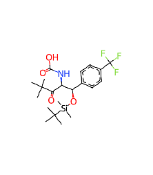 CC(C)(C)C(=O)[C@@H](NC(=O)O)[C@H](O[Si](C)(C)C(C)(C)C)c1ccc(C(F)(F)F)cc1